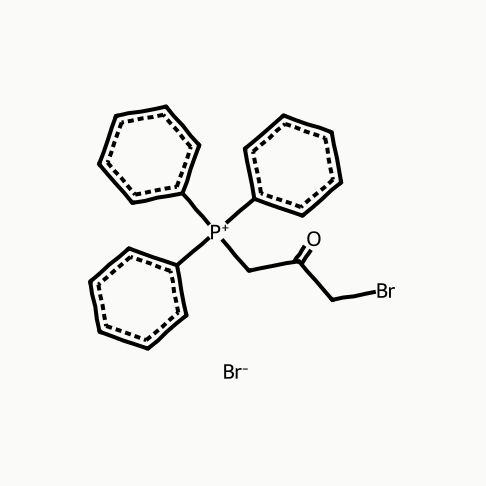 O=C(CBr)C[P+](c1ccccc1)(c1ccccc1)c1ccccc1.[Br-]